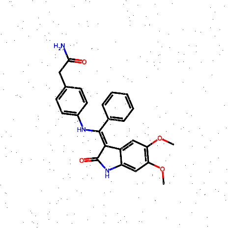 COc1cc2c(cc1OC)/C(=C(/Nc1ccc(CC(N)=O)cc1)c1ccccc1)C(=O)N2